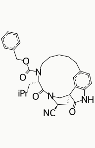 CC(C)C[C@H]1C(=O)N2C[C@]3(C[C@H]2C#N)C(=O)Nc2ccc(cc23)CCCCCN1C(=O)OCc1ccccc1